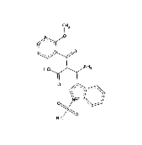 COc1ncccc1C(=O)C(C(=O)O)C(N)c1cn(S(C)(=O)=O)c2ccccc12